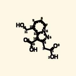 O=C(O)Cc1nn2cccc(CO)c2c1C(=O)O